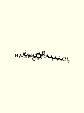 CCCCCCCCCOC(=O)C1CCC(C(=O)OCCCC(C)C)CC1